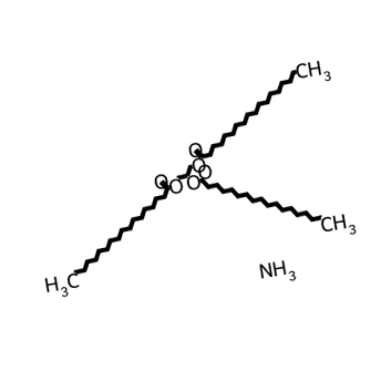 CCCCCCCCCCCCCCCCCC(=O)OCC(COC(=O)CCCCCCCCCCCCCCCCC)OC(=O)CCCCCCCCCCCCCCCCC.N